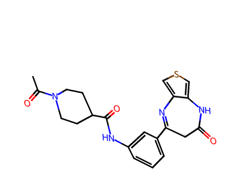 CC(=O)N1CCC(C(=O)Nc2cccc(C3=Nc4cscc4NC(=O)C3)c2)CC1